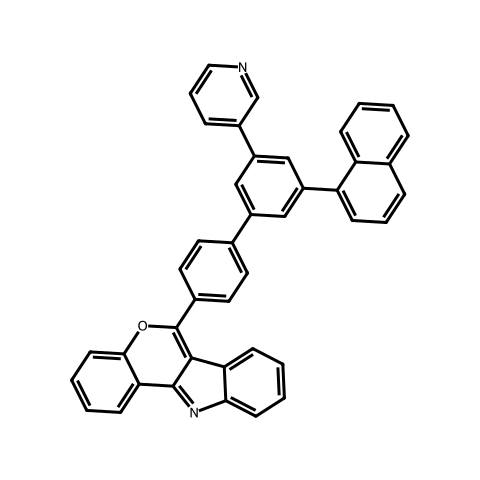 c1cncc(-c2cc(-c3ccc(-c4oc5ccccc5c5nc6ccccc6c4-5)cc3)cc(-c3cccc4ccccc34)c2)c1